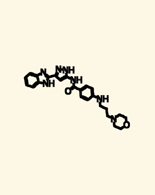 O=C(Nc1cc(-c2nc3ccccc3[nH]2)n[nH]1)c1ccc(NCCCN2CCOCC2)cc1